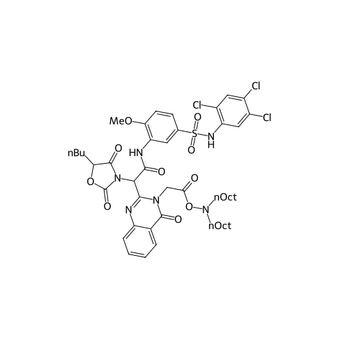 CCCCCCCCN(CCCCCCCC)OC(=O)Cn1c(C(C(=O)Nc2cc(S(=O)(=O)Nc3cc(Cl)c(Cl)cc3Cl)ccc2OC)N2C(=O)OC(CCCC)C2=O)nc2ccccc2c1=O